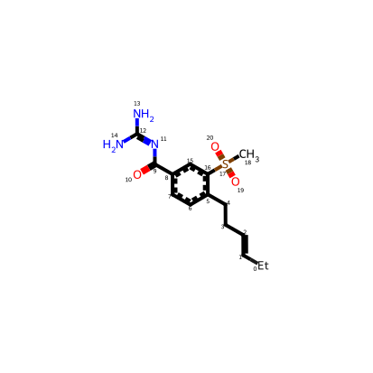 CCC=CCCc1ccc(C(=O)N=C(N)N)cc1S(C)(=O)=O